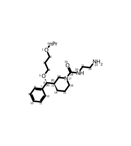 CCCOCCCO[C@@H](c1ccccc1)[C@@H]1CCCN(C(=O)NCCN)C1